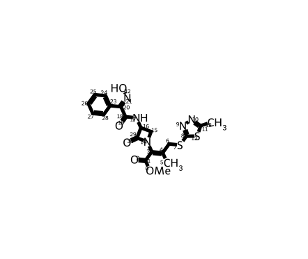 COC(=O)/C(=C(\C)CSc1nnc(C)s1)N1CC(NC(=O)/C(=N/O)c2ccccc2)C1=O